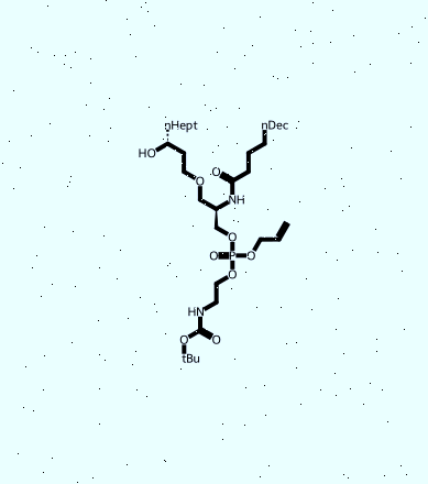 C=CCOP(=O)(OCCNC(=O)OC(C)(C)C)OC[C@@H](COCC[C@H](O)CCCCCCC)NC(=O)CCCCCCCCCCCCC